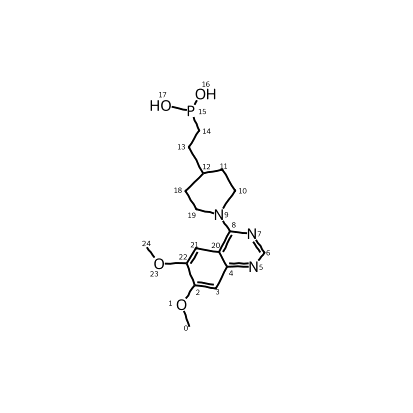 COc1cc2ncnc(N3CCC(CCP(O)O)CC3)c2cc1OC